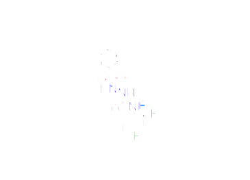 Cc1cc(C)c(S(=O)(=O)NNC(=O)NC(C)(C(F)(F)F)C(F)(F)F)c(C)c1